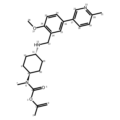 C=C(C)OC(=O)N(C)[C@H]1CC[C@H](NCc2cc(-c3ccc(C)nc3)ccc2OC)CC1